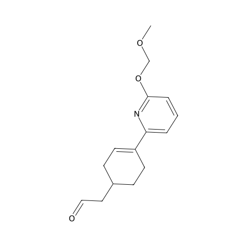 COCOc1cccc(C2=CCC(CC=O)CC2)n1